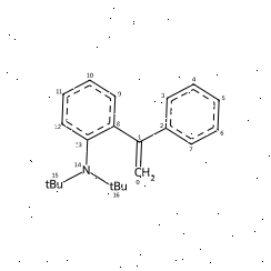 C=C(c1ccccc1)c1ccccc1N(C(C)(C)C)C(C)(C)C